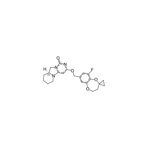 O=c1nc(OCc2cc(F)c3c(c2)OCCC2(CC2)O3)cc2n1C[C@@H]1CCCCN21